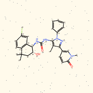 Cc1c(-c2ccc(=O)n(C)c2)nn(-c2ccccc2)c1NC(=O)N[C@@H]1c2cc(F)ccc2C(C)(C)C[C@H]1O